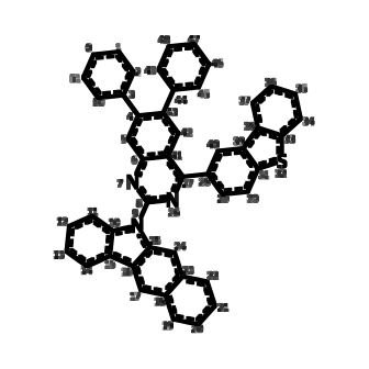 c1ccc(-c2cc3nc(-n4c5ccccc5c5cc6ccccc6cc54)nc(-c4ccc5sc6ccccc6c5c4)c3cc2-c2ccccc2)cc1